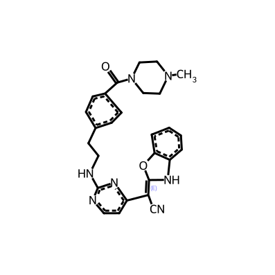 CN1CCN(C(=O)c2ccc(CCNc3nccc(/C(C#N)=C4/Nc5ccccc5O4)n3)cc2)CC1